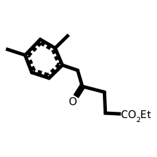 CCOC(=O)CCC(=O)Cc1ccc(C)cc1C